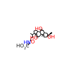 C#C[C@@]1(O)CC[C@@]2(C)C(C[C@@H](O)C3C2C[C@H](O)[C@]2(C)C(C(C)CCC(=O)NCC(=O)O)CCC32)C1